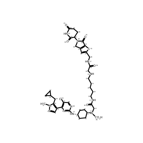 Cn1ncc(-c2nc(N[C@H]3CC[C@H](N(CC(=O)NCCCCCNCC(=O)NCc4cc5c(s4)C(=O)N(C4CCC(=O)NC4=O)C5)C(=O)O)CC3)ncc2Cl)c1CC1CC1